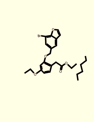 CCCCCC.CCOC(=O)Cc1ccc(OCC)cc1OCc1cc(Br)c2occc2c1